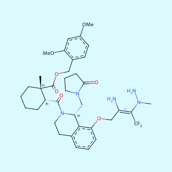 COc1ccc(COC(=O)[C@@]2(C)CCCC[C@H]2C(=O)N2CCc3cccc(OC/C(N)=C(/N(C)N)C(F)(F)F)c3[C@H]2CN2CCCC2=O)c(OC)c1